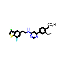 CCCc1cc(-c2cc(NCCc3cc(F)c4scc(Cl)c4c3)ncn2)ccc1CC(=O)O